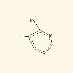 CC(C)c1ncccc1I